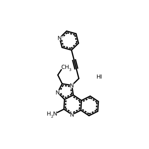 CCc1nc2c(N)nc3ccccc3c2n1CC#Cc1cccnc1.I